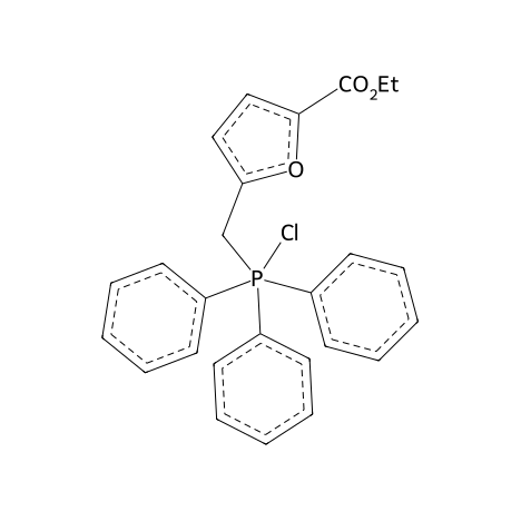 CCOC(=O)c1ccc(CP(Cl)(c2ccccc2)(c2ccccc2)c2ccccc2)o1